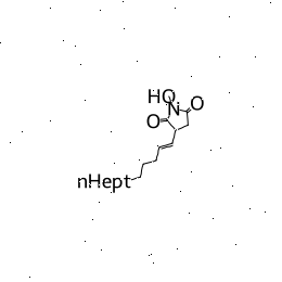 CCCCCCCCCCC=CC1CC(=O)N(O)C1=O